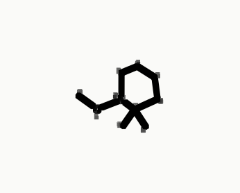 CON1CCCCC1(C)C